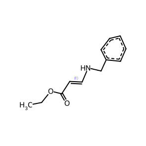 CCOC(=O)/C=C/NCc1ccccc1